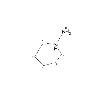 N[SiH]1CCCCC1